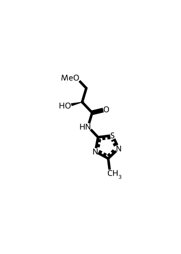 COC[C@H](O)C(=O)Nc1nc(C)ns1